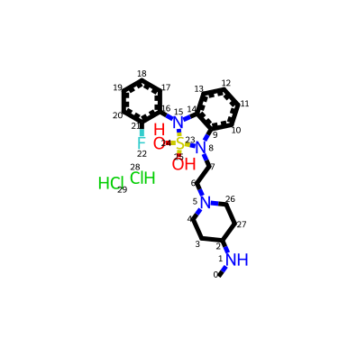 CNC1CCN(CCN2c3ccccc3N(c3ccccc3F)S2(O)O)CC1.Cl.Cl